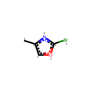 Cc1coc(Br)n1